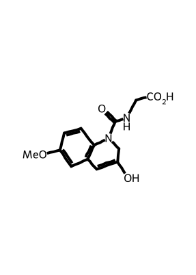 COc1ccc2c(c1)C=C(O)CN2C(=O)NCC(=O)O